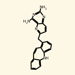 Nc1nc(N)c2nc(Cc3cccc4c3C=Cc3ccccc3N4)ccc2n1